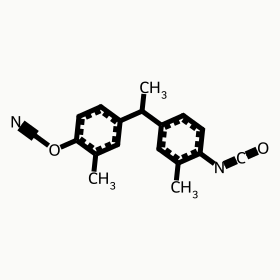 Cc1cc(C(C)c2ccc(OC#N)c(C)c2)ccc1N=C=O